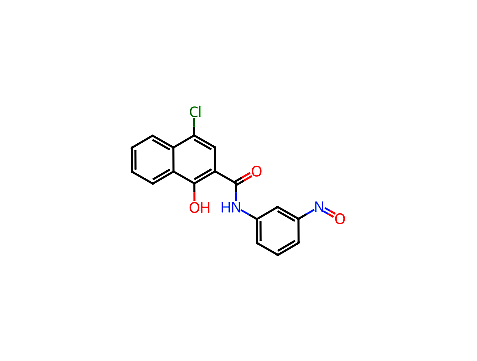 O=Nc1cccc(NC(=O)c2cc(Cl)c3ccccc3c2O)c1